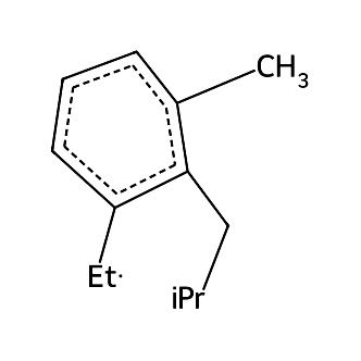 C[CH]c1cccc(C)c1CC(C)C